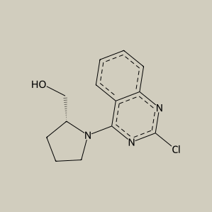 OC[C@H]1CCCN1c1nc(Cl)nc2ccccc12